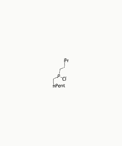 CCCCCCP(Cl)CCC(C)C